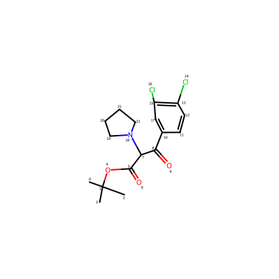 CC(C)(C)OC(=O)C(C(=O)c1ccc(Cl)c(Cl)c1)N1CCCC1